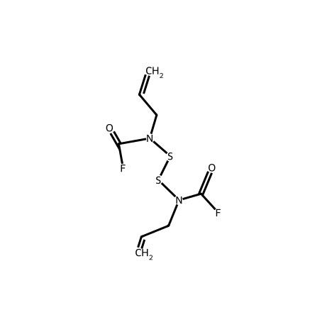 C=CCN(SSN(CC=C)C(=O)F)C(=O)F